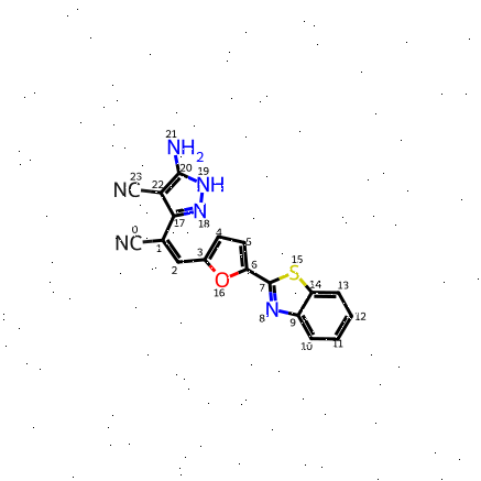 N#C/C(=C/c1ccc(-c2nc3ccccc3s2)o1)c1n[nH]c(N)c1C#N